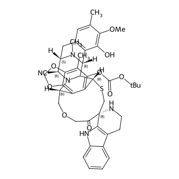 COc1c(C)cc2c(c1O)[C@@H]1C3[C@@H]4SC[C@]5(NCCc6c5[nH]c5ccccc65)C(=O)COC[C@@H](c5c6c(c(C)c(OC(=O)OC(C)(C)C)c54)OCO6)N3[C@@H](C#N)[C@H](C2)N1C